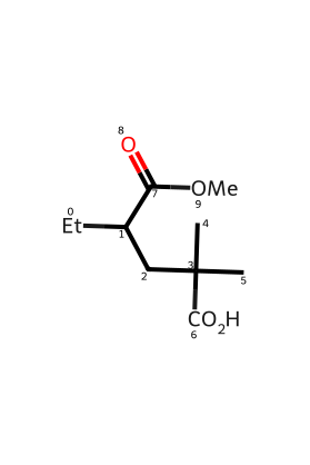 CCC(CC(C)(C)C(=O)O)C(=O)OC